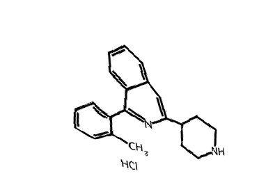 Cc1ccccc1-c1nc(C2CCNCC2)cc2ccccc12.Cl